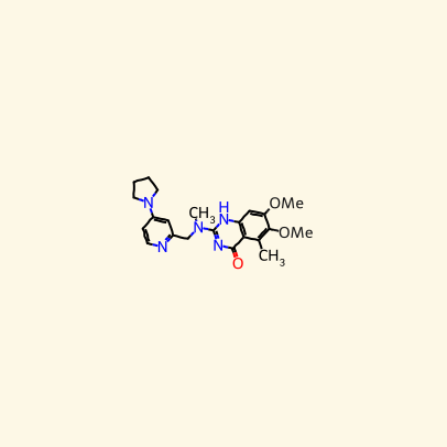 COc1cc2[nH]c(N(C)Cc3cc(N4CCCC4)ccn3)nc(=O)c2c(C)c1OC